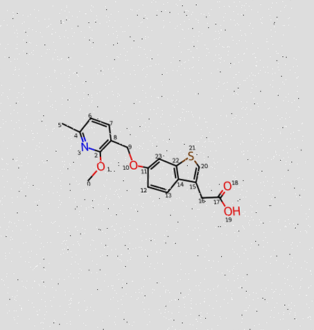 COc1nc(C)ccc1COc1ccc2c(CC(=O)O)csc2c1